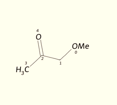 [C]OCC(C)=O